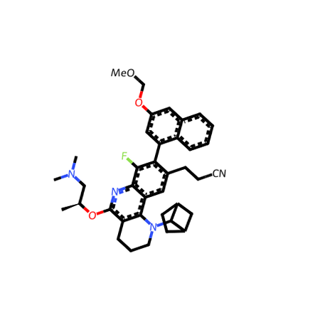 COCOc1cc(-c2c(CCC#N)cc3c4c(c(O[C@@H](C)CN(C)C)nc3c2F)CCCN4C2C3CCC2C3)c2ccccc2c1